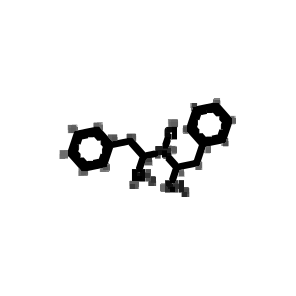 N[CH](Cc1ccccc1)[Pd]([Cl])[CH](N)Cc1ccccc1